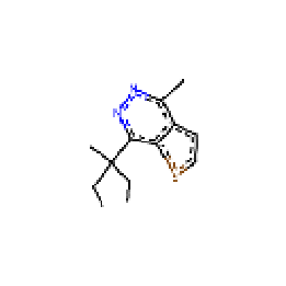 CCC(C)(CC)c1nnc(C)c2ccsc12